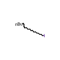 CCCC/C=C\C=C/CCCCCCCCCCCCI